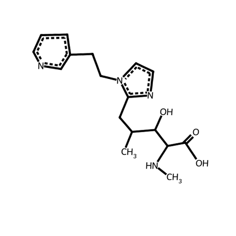 CNC(C(=O)O)C(O)C(C)Cc1nccn1CCc1cccnc1